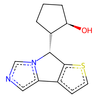 O[C@@H]1CCCC1[C@@H]1c2sccc2-c2cncn21